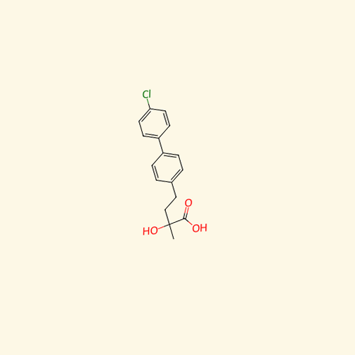 CC(O)(CCc1ccc(-c2ccc(Cl)cc2)cc1)C(=O)O